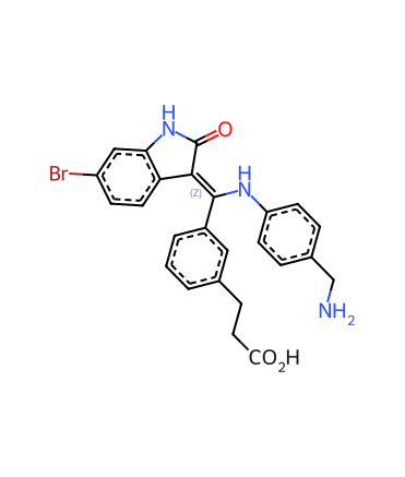 NCc1ccc(N/C(=C2\C(=O)Nc3cc(Br)ccc32)c2cccc(CCC(=O)O)c2)cc1